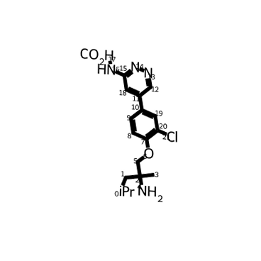 CC(C)CC(C)(N)COc1ccc(-c2cnnc(NC(=O)O)c2)cc1Cl